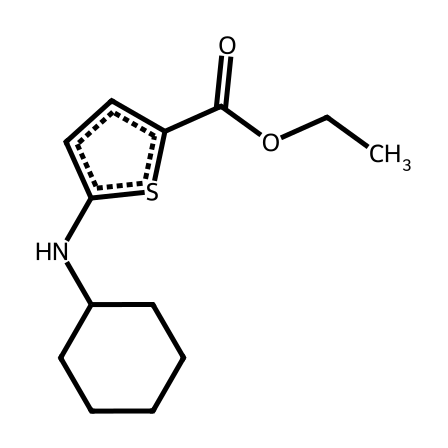 CCOC(=O)c1ccc(NC2CCCCC2)s1